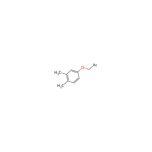 CC(=O)COc1ccc(C)c(C)c1